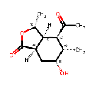 CC(=O)[C@H]1[C@H](C)[C@H](O)C[C@H]2C(=O)O[C@H](C)[C@@H]12